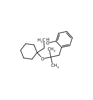 CCC1(OC(C)(C)Cc2ccccc2O)CCCCC1